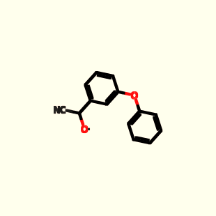 N#CC([O])c1cccc(Oc2ccccc2)c1